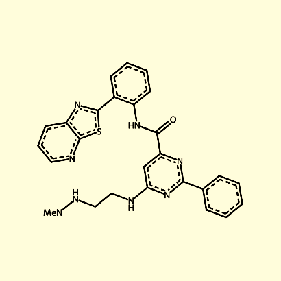 CNNCCNc1cc(C(=O)Nc2ccccc2-c2nc3cccnc3s2)nc(-c2ccccc2)n1